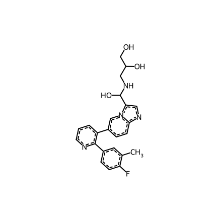 Cc1cc(-c2ncccc2-c2ccc3ncc(C(O)NCC(O)CO)n3c2)ccc1F